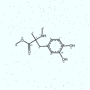 CNC(C)(Cc1ccc(O)c(O)c1)C(=O)OC